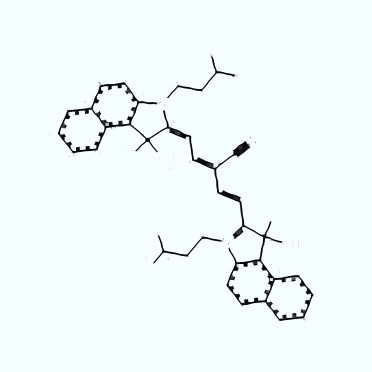 CC(C)CCN1/C(=C/C=C(C#N)/C=C/C2=[N+](CCC(C)C)c3ccc4ccccc4c3C2(C)C)C(C)(C)c2c1ccc1ccccc21